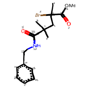 COC(=O)C(C)(Br)CC(C)(C)C(=O)NCc1ccccc1